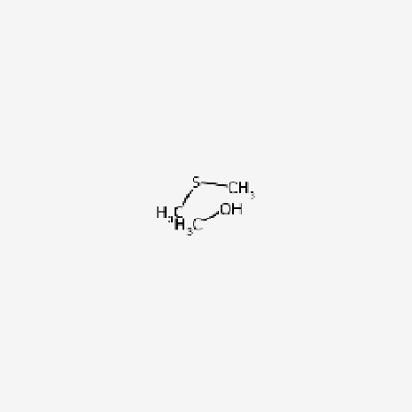 CO.CSC